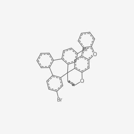 Brc1ccc2c(c1)C1(c3ccccc3Oc3cc4oc5ccccc5c4cc31)c1cc(Br)ccc1-c1ccccc1-2